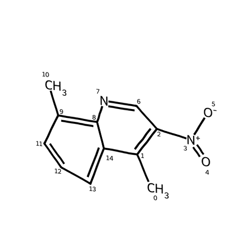 Cc1c([N+](=O)[O-])cnc2c(C)cccc12